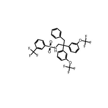 O=S(=O)(NCC(Cc1ccccc1)(c1cccc(OC(F)(F)F)c1)c1cccc(OC(F)(F)F)c1)c1cccc(C(F)(F)F)c1